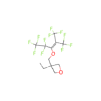 CCC1(COC(=C(C(F)(F)F)C(F)(F)F)C(F)(F)C(F)(F)F)COC1